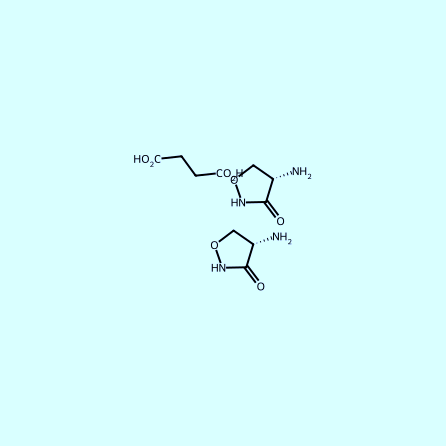 N[C@H]1CONC1=O.N[C@H]1CONC1=O.O=C(O)CCC(=O)O